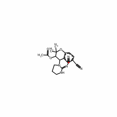 CC(=O)OC1C(N2CCCN/C2=N/C#N)c2cc(C#N)ccc2OC1(C)C